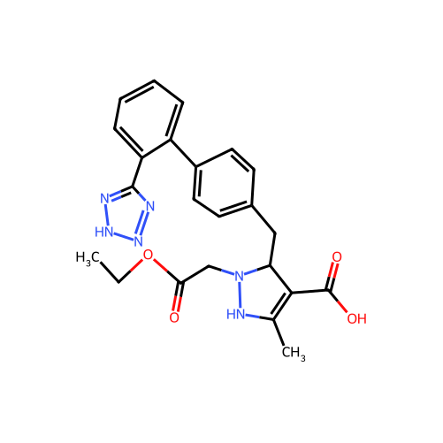 CCOC(=O)CN1NC(C)=C(C(=O)O)C1Cc1ccc(-c2ccccc2-c2nn[nH]n2)cc1